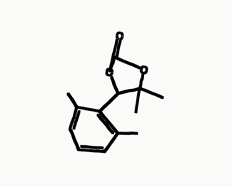 Cc1cccc(C)c1C1OC(=O)OC1(C)C